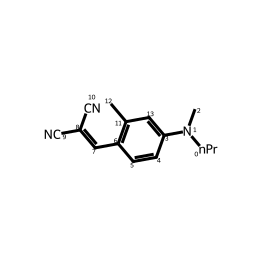 CCCN(C)c1ccc(C=C(C#N)C#N)c(C)c1